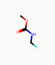 COC(=O)NCF